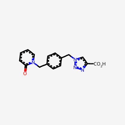 O=C(O)c1cn(Cc2ccc(Cn3ccccc3=O)cc2)nn1